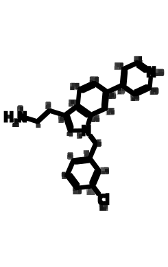 NCCc1cn(Cc2cccc(Cl)c2)c2cc(-c3ccncc3)ccc12